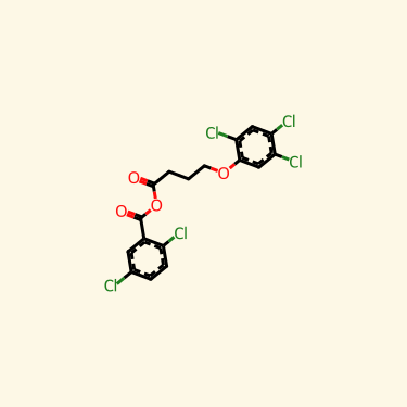 O=C(CCCOc1cc(Cl)c(Cl)cc1Cl)OC(=O)c1cc(Cl)ccc1Cl